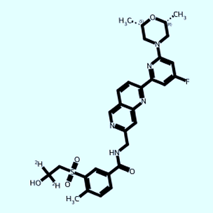 [2H]C([2H])(O)CS(=O)(=O)c1cc(C(=O)NCc2cc3nc(-c4cc(F)cc(N5C[C@@H](C)O[C@@H](C)C5)n4)ccc3cn2)ccc1C